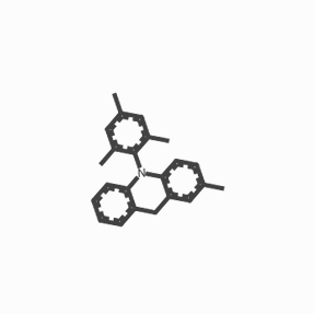 Cc1cc(C)c(N2c3ccccc3Cc3cc(C)ccc32)c(C)c1